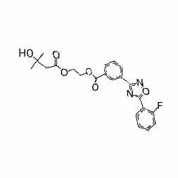 CC(C)(O)CC(=O)OCCOC(=O)c1cccc(-c2noc(-c3ccccc3F)n2)c1